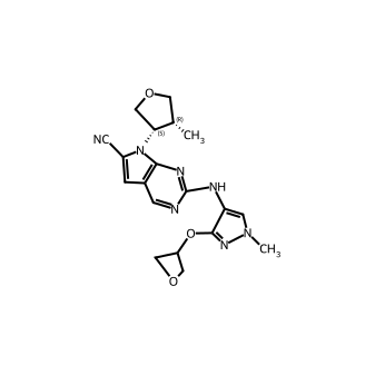 C[C@H]1COC[C@H]1n1c(C#N)cc2cnc(Nc3cn(C)nc3OC3COC3)nc21